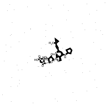 CC1(C#Cc2cc(NC3CCCC3)c3cnn([C@@H]4O[C@H](CS(=O)(=O)CP(=O)(O)O)[C@@H](O)[C@H]4O)c3n2)CC1